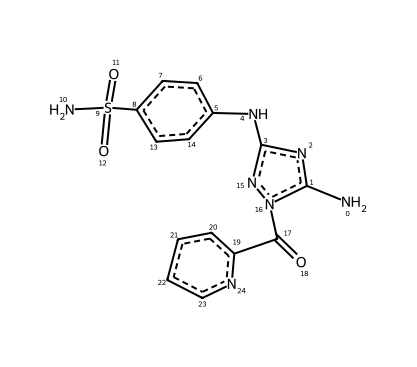 Nc1nc(Nc2ccc(S(N)(=O)=O)cc2)nn1C(=O)c1ccccn1